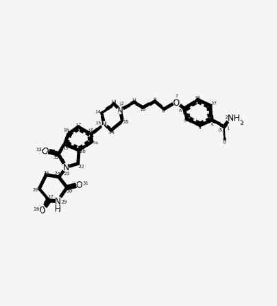 C[C@H](N)c1ccc(OCCCCN2CCN(c3ccc4c(c3)CN(C3CCC(=O)NC3=O)C4=O)CC2)cc1